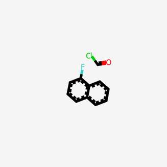 Fc1cccc2ccccc12.O=CCl